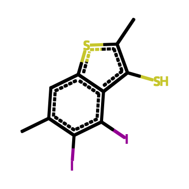 Cc1cc2sc(C)c(S)c2c(I)c1I